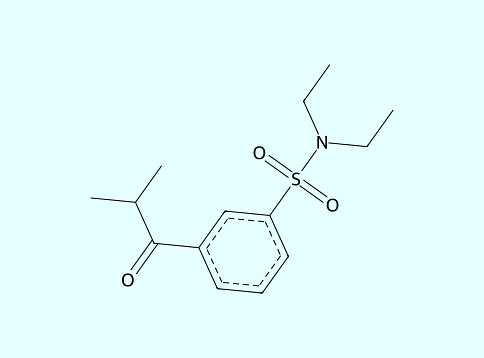 CCN(CC)S(=O)(=O)c1cccc(C(=O)C(C)C)c1